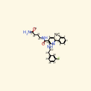 N#Cc1ccccc1-c1ccc(C(=O)NCCCC(N)=O)c(NCCc2cccc(F)c2)n1